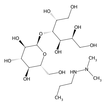 CCCNN(C)C.OC[C@@H](O)[C@@H](O[C@H]1O[C@H](CO)[C@@H](O)[C@H](O)[C@H]1O)[C@H](O)[C@@H](O)CO